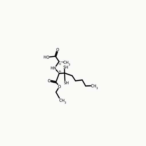 CCCCCC(S)(S)[C@H](N[C@@H](C)C(=O)O)C(=O)OCC